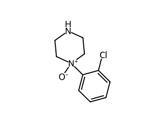 [O-][N+]1(c2ccccc2Cl)CCNCC1